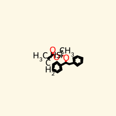 C=C(C)C(=O)O[SiH](C)OC(Cc1ccccc1)c1ccccc1